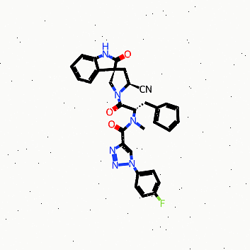 CN(C(=O)c1cn(-c2ccc(F)cc2)nn1)[C@@H](Cc1ccccc1)C(=O)N1C[C@]2(C[C@H]1C#N)C(=O)Nc1ccccc12